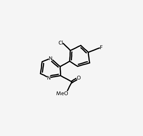 COC(=O)c1nccnc1-c1ccc(F)cc1Cl